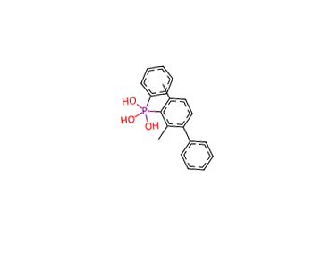 Cc1ccc(-c2ccccc2)c(C)c1P(O)(O)(O)c1ccccc1